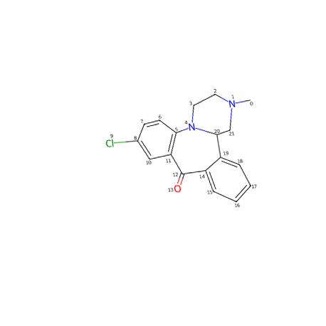 CN1CCN2c3ccc(Cl)cc3C(=O)c3ccccc3C2C1